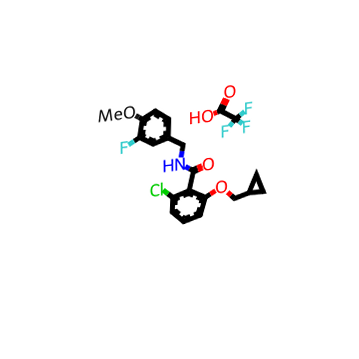 COc1ccc(CNC(=O)c2c(Cl)cccc2OCC2CC2)cc1F.O=C(O)C(F)(F)F